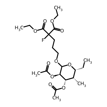 CCOC(=O)C(F)(CCCOC1O[C@H](CC)[C@H](C)[C@H](OC(C)=O)[C@H]1OC(C)=O)C(=O)OCC